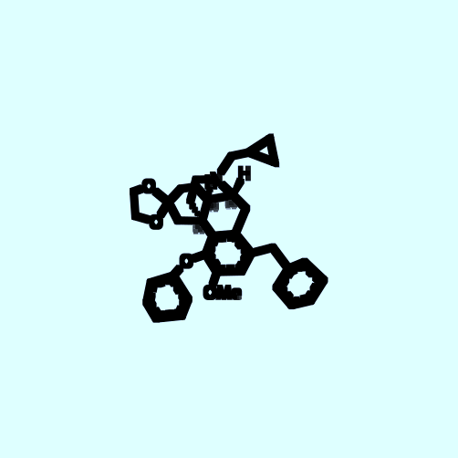 COc1cc(Cc2ccccc2)c2c(c1Oc1ccccc1)[C@]13CCN(CC4CC4)[C@H](C2)[C@@H]1CCC1(C3)OCCO1